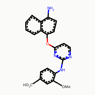 COc1cc(C(=O)O)ccc1Nc1nccc(Oc2ccc(N)c3ccccc23)n1